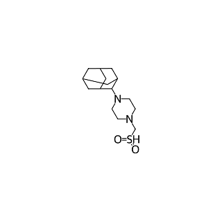 O=[SH](=O)CN1CCN(C2C3CC4CC(C3)CC2C4)CC1